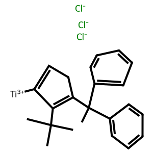 CC(C)(C)C1=C(C(C)(c2ccccc2)c2ccccc2)CC=[C]1[Ti+3].[Cl-].[Cl-].[Cl-]